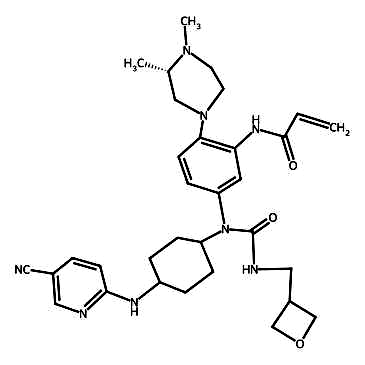 C=CC(=O)Nc1cc(N(C(=O)NCC2COC2)C2CCC(Nc3ccc(C#N)cn3)CC2)ccc1N1CCN(C)[C@@H](C)C1